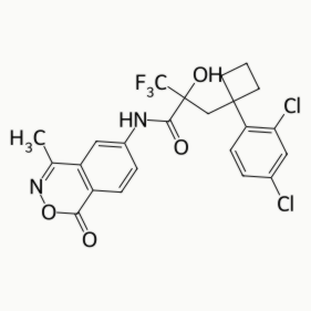 Cc1noc(=O)c2ccc(NC(=O)C(O)(CC3(c4ccc(Cl)cc4Cl)CCC3)C(F)(F)F)cc12